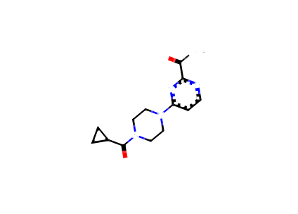 COC(=O)c1nccc(N2CCN(C(=O)C3CC3)CC2)n1